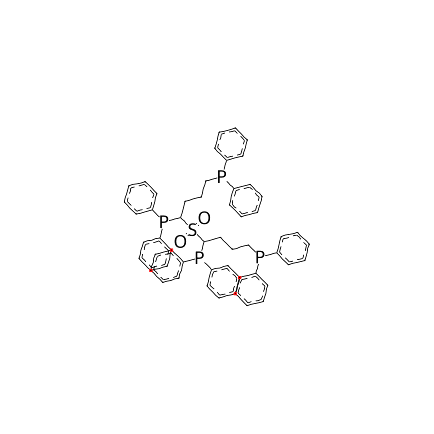 O=S(=O)(C(CCCP(c1ccccc1)c1ccccc1)P(c1ccccc1)c1ccccc1)C(CCCP(c1ccccc1)c1ccccc1)P(c1ccccc1)c1ccccc1